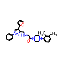 Cc1cccc(N2CCN(C(=O)CNCc3nn(-c4ccccc4)cc3-c3ccco3)CC2)c1C